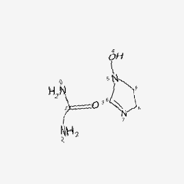 NC(N)=O.ON1C=NCC1